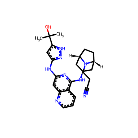 CC(C)(O)c1cc(Nc2cc3ncccc3c(N[C@@H]3C[C@H]4CC[C@@H](C3)N4CCC#N)n2)n[nH]1